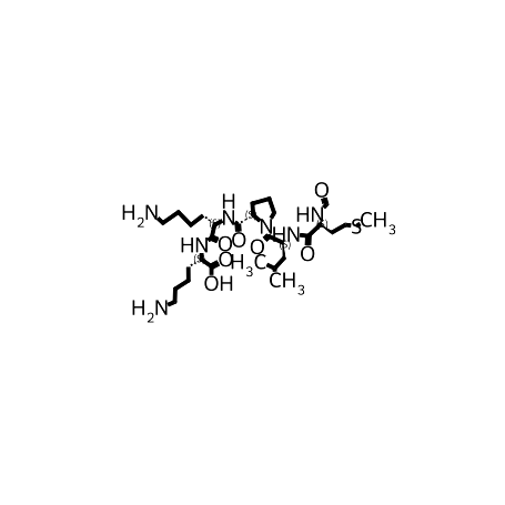 CSCC[C@H](NC=O)C(=O)N[C@@H](CC(C)C)C(=O)N1CCC[C@H]1C(=O)N[C@@H](CCCCN)C(=O)N[C@@H](CCCCN)C(=O)O